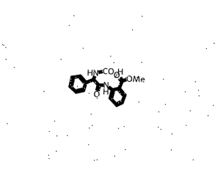 COC(=O)c1ccccc1NC(=O)C(NC(=O)O)c1ccccc1